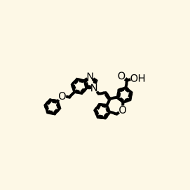 O=C(O)c1ccc2c(c1)/C(=C/Cn1cnc3ccc(COc4ccccc4)cc31)c1ccccc1CO2